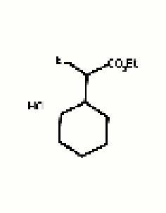 CCOC(=O)C(CC)C1CCCCC1.Cl